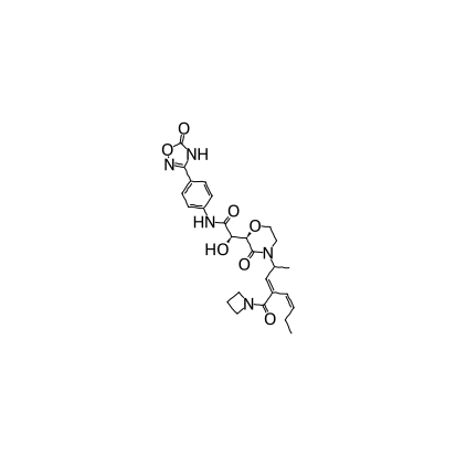 CC/C=C\C(=C/C(C)N1CCO[C@H]([C@@H](O)C(=O)Nc2ccc(-c3noc(=O)[nH]3)cc2)C1=O)C(=O)N1CCC1